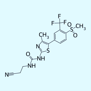 Cc1nc(NC(=O)NCCC#N)sc1-c1ccc(S(C)(=O)=O)c(C(F)(F)F)c1